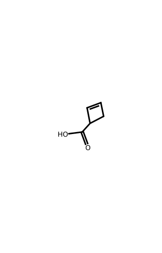 O=C(O)C1C=CC1